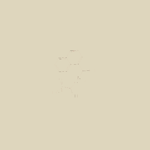 CC(N)c1cccc2ccccc12.CC(O)[PH](=O)O